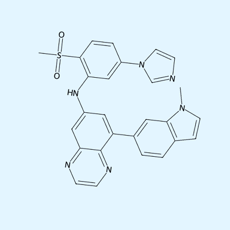 Cn1ccc2ccc(-c3cc(Nc4cc(-n5ccnc5)ccc4S(C)(=O)=O)cc4nccnc34)cc21